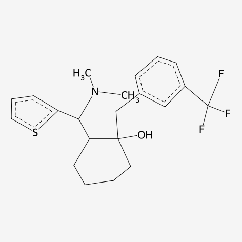 CN(C)C(c1cccs1)C1CCCCC1(O)Cc1cccc(C(F)(F)F)c1